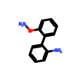 NOc1ccccc1-c1ccccc1N